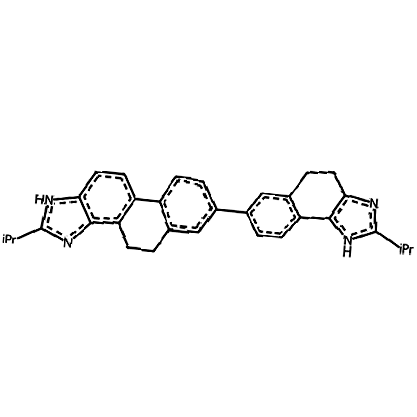 CC(C)c1nc2c([nH]1)-c1ccc(-c3ccc4c(c3)CCc3c-4ccc4[nH]c(C(C)C)nc34)cc1CC2